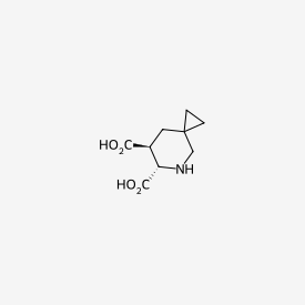 O=C(O)[C@H]1CC2(CC2)CN[C@@H]1C(=O)O